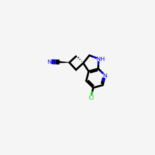 N#C[C@H]1C[C@@]2(CNc3ncc(Cl)cc32)C1